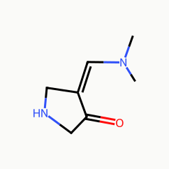 CN(C)/C=C1/CNCC1=O